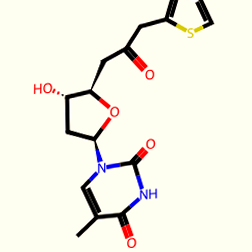 Cc1cn([C@H]2C[C@H](O)[C@@H](CC(=O)Cc3cccs3)O2)c(=O)[nH]c1=O